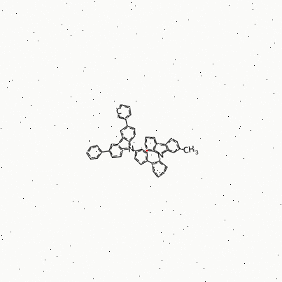 Cc1ccc2c3ccccc3n(-c3ccccc3-c3ccc(-n4c5ccc(-c6ccccc6)cc5c5cc(-c6ccccc6)ccc54)cc3)c2c1